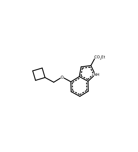 CCOC(=O)c1cc2c(OCC3CCC3)cccc2[nH]1